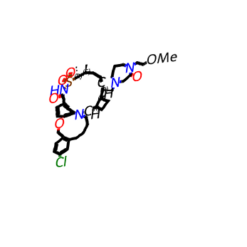 COCCN1CCCN(C[C@@H]2CCC[C@H](C)[C@@H](C)S(=O)(=O)NC(=O)c3ccc4c(c3)N(CCCCc3cc(Cl)ccc3CO4)C[C@@H]3CC[C@@H]23)CC1=O